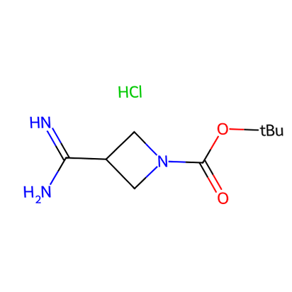 CC(C)(C)OC(=O)N1CC(C(=N)N)C1.Cl